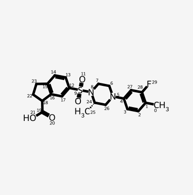 Cc1ccc(N2CCN(S(=O)(=O)c3ccc4c(c3)C(C(=O)O)CC4)[C@@H](C)C2)cc1F